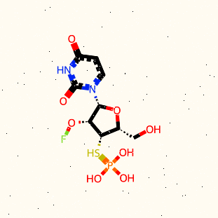 O=c1ccn([C@@H]2O[C@H](CO)[C@H]([SH]=P(O)(O)O)[C@@H]2OF)c(=O)[nH]1